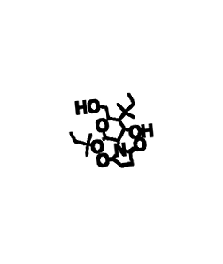 CCC(C)(C)O[C@@H]1OC(CO)[C@@H](C(C)(C)CC)C(O)C1N1C(=O)C=CC1=O